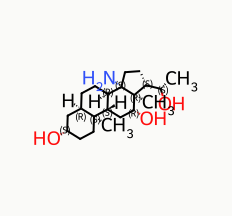 C[C@H](O)[C@H]1CC[C@]2(N)[C@@H]3CC[C@@H]4C[C@@H](O)CC[C@]4(C)[C@H]3C[C@@H](O)[C@]12C